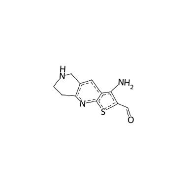 Nc1c(C=O)sc2nc3c(cc12)CNCC3